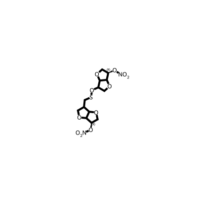 O=[N+]([O-])O[C@@H]1COC2C(CSOC3COC4C3OC[C@H]4O[N+](=O)[O-])COC21